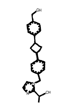 CC(O)c1nccn1Cc1ccc(C2CC(c3ccc(CO)cc3)C2)cc1